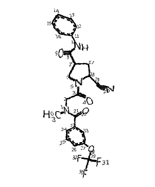 CN(CC(=O)N1CC(C(=O)Nc2ccccc2)CC1C#N)C(=O)c1cccc(OC(F)(F)F)c1